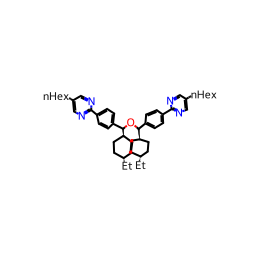 CCCCCCc1cnc(-c2ccc(C(OC(c3ccc(-c4ncc(CCCCCC)cn4)cc3)[C@H]3CC[C@H](CC)CC3)[C@H]3CC[C@H](CC)CC3)cc2)nc1